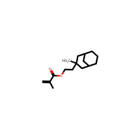 C=C(C)C(=O)OCCC1(C(=O)O)CC2CCCC(C2)C1